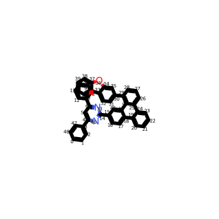 c1ccc(-c2cc(-c3ccccc3)nc(-c3ccc4c5ccccc5c5cccc(-c6ccc7c(c6)oc6ccccc67)c5c4c3)n2)cc1